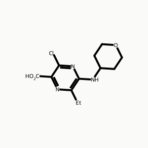 CCc1nc(C(=O)O)c(Cl)nc1NC1CCOCC1